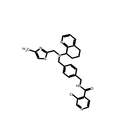 Cc1csc(CN(Cc2ccc(CNC(=O)c3ccncc3Cl)cc2)C2CCCc3cccnc32)n1